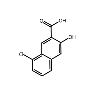 O=C(O)c1cc2c(Cl)cccc2cc1O